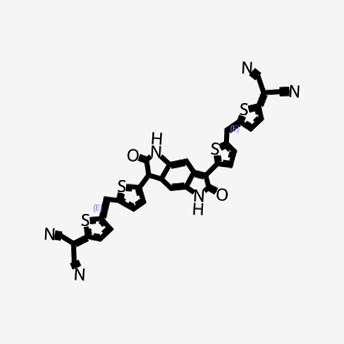 N#CC(C#N)=c1cc/c(=C\c2ccc(C3=C4C=C5NC(=O)C(c6ccc(/C=c7\ccc(=C(C#N)C#N)s7)s6)C5C=C4NC3=O)s2)s1